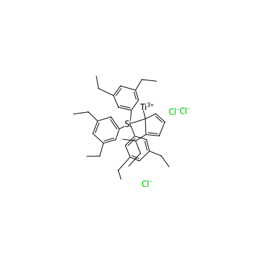 CCc1cc(CC)cc([Si](c2cc(CC)cc(CC)c2)(c2cc(CC)cc(CC)c2)[C]2([Ti+3])C=CC=C2C(C)CC)c1.[Cl-].[Cl-].[Cl-]